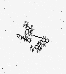 CCN(CC1CCCC1)c1nc2ccccc2cc1CN(Cc1cc(C(F)(F)F)cc(C(F)(F)F)c1)c1nnn(CCCCCCc2nc3ccccc3cc2CN(Cc2cc(C(F)(F)F)cc(C(F)(F)F)c2)C(=O)OC(C)(C)C)n1